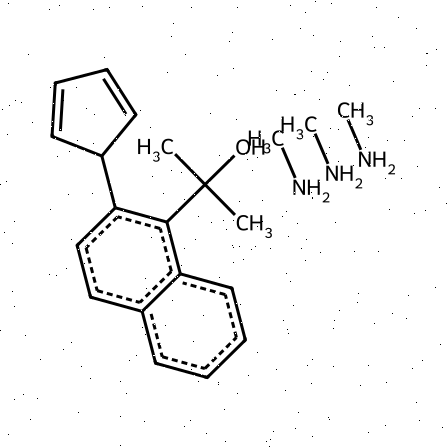 CC(C)(O)c1c(C2C=CC=C2)ccc2ccccc12.CN.CN.CN